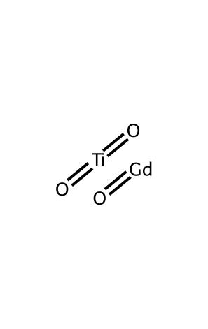 [O]=[Gd].[O]=[Ti]=[O]